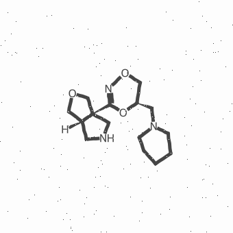 C1CCN(C[C@@H]2CON=C([C@@]34CNC[C@@H]3COC4)O2)CC1